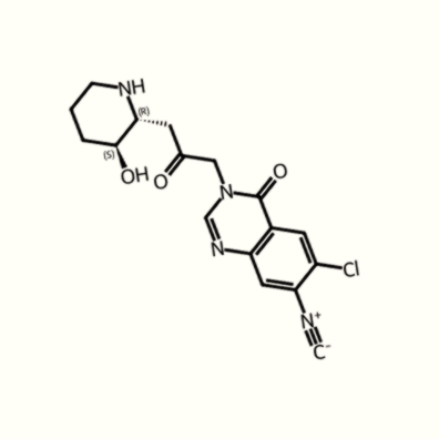 [C-]#[N+]c1cc2ncn(CC(=O)C[C@H]3NCCC[C@@H]3O)c(=O)c2cc1Cl